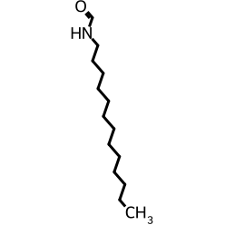 CCCCCCCCCCCCCNC=O